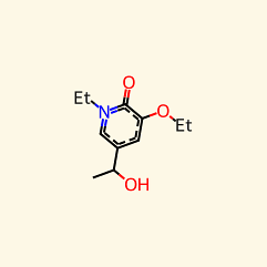 CCOc1cc(C(C)O)cn(CC)c1=O